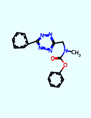 CN(Cc1nnc(-c2ccccc2)nn1)C(=O)Oc1ccccc1